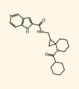 O=C(NCC1CC12CCCCN2C(=O)C1CCCCC1)c1cc2cnccc2[nH]1